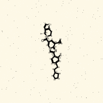 C[C@@H]1c2ccsc2CCN1C(=O)c1cc(C2CC2)c2nc(-c3ccc(CCC4CCCC4)cc3F)cn2c1